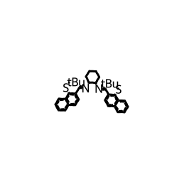 CC(C)(C)Sc1c(/C=N/C2CCCCC2/N=C/c2ccc3ccccc3c2SC(C)(C)C)ccc2ccccc12